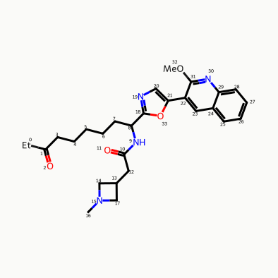 CCC(=O)CCCCCC(NC(=O)CC1CN(C)C1)c1ncc(-c2cc3ccccc3nc2OC)o1